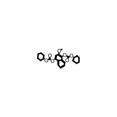 COc1cc(OC(=O)OC2CCCCC2)c2ccccc2c1OC(=O)OC1CCCCC1